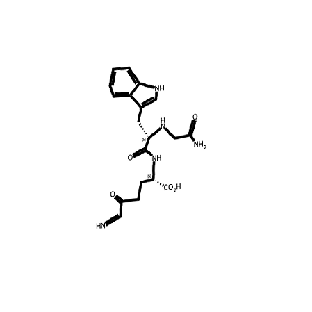 N=CC(=O)CC[C@H](NC(=O)[C@H](Cc1c[nH]c2ccccc12)NCC(N)=O)C(=O)O